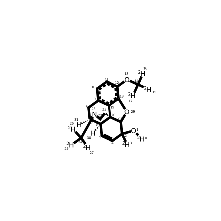 [2H]OC1([2H])C=C[C@H]2[C@H]3Cc4ccc(OC([2H])([2H])[2H])c5c4[C@@]2(CCN3C([2H])([2H])[2H])C1O5